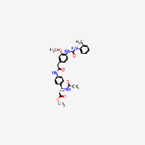 COC(=O)C[C@@H](NC(C)=O)c1ccc(NC(=O)Cc2ccc(NC(=O)Nc3ccccc3C)c(OC)c2)cc1